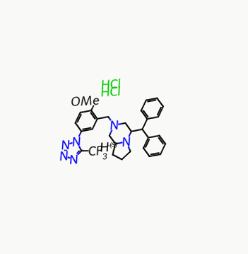 COc1ccc(-n2nnnc2C(F)(F)F)cc1CN1CC(C(c2ccccc2)c2ccccc2)N2CCC[C@H]2C1.Cl.Cl